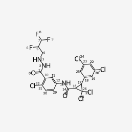 O=C(NNCC(F)C(F)F)c1cc(NC(=O)C2C(c3cc(Cl)cc(Cl)c3)C2(Cl)Cl)ccc1Cl